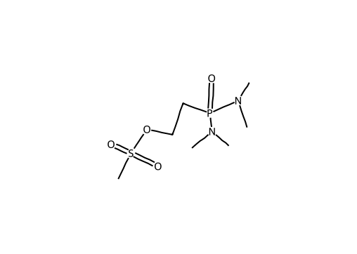 CN(C)P(=O)(CCOS(C)(=O)=O)N(C)C